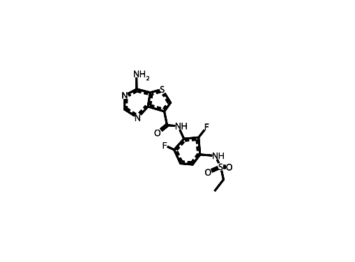 CCS(=O)(=O)Nc1ccc(F)c(NC(=O)c2csc3c(N)ncnc23)c1F